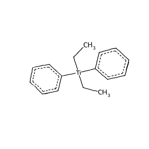 C[CH2][Ti]([CH2]C)([c]1ccccc1)[c]1ccccc1